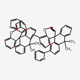 CC1(C)c2ccccc2C2(c3ccccc3Oc3c(-c4ccc(-c5cccnc5)c5c4C(C)(C)c4ccccc4C54c5ccccc5Oc5ccccc54)cccc32)c2cc(-c3ccccn3)ccc21